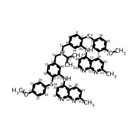 COc1ccc(Sc2ccc(CN(Cc3ccc(Sc4ccc(OC)cc4)c(Nc4ccnc5nc(C)ccc45)c3)C(C)C)cc2Nc2ccnc3nc(C)ccc23)cc1